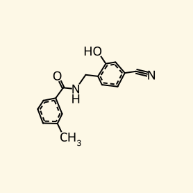 Cc1cccc(C(=O)NCc2ccc(C#N)cc2O)c1